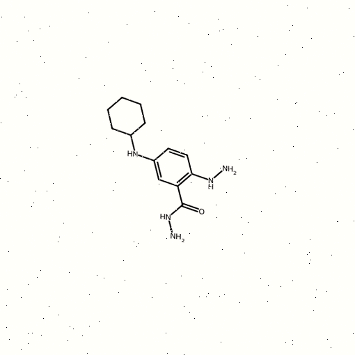 NNC(=O)c1cc(NC2CCCCC2)ccc1NN